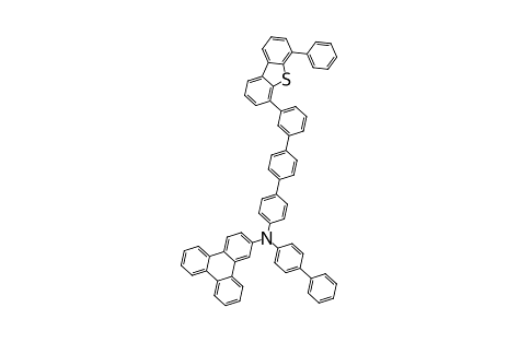 c1ccc(-c2ccc(N(c3ccc(-c4ccc(-c5cccc(-c6cccc7c6sc6c(-c8ccccc8)cccc67)c5)cc4)cc3)c3ccc4c5ccccc5c5ccccc5c4c3)cc2)cc1